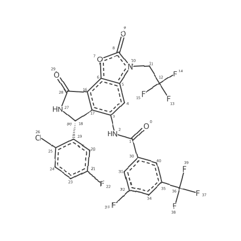 O=C(Nc1cc2c(oc(=O)n2CC(F)(F)F)c2c1[C@H](c1cc(F)ccc1Cl)NC2=O)c1cc(F)cc(C(F)(F)F)c1